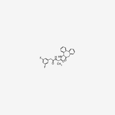 C[C@H](NC(=O)Cc1cc(F)cc(F)c1)C(=O)NC1C(=O)Cc2ccccc2-c2ccccc21